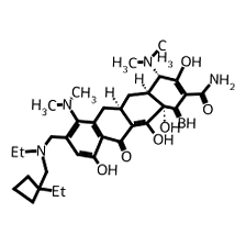 B=C1C(C(N)=O)=C(O)[C@@H](N(C)C)[C@@H]2C[C@@H]3Cc4c(c(O)cc(CN(CC)CC5(CC)CCC5)c4N(C)C)C(=O)C3=C(O)[C@]12O